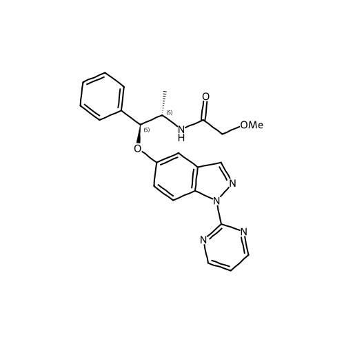 COCC(=O)N[C@@H](C)[C@@H](Oc1ccc2c(cnn2-c2ncccn2)c1)c1ccccc1